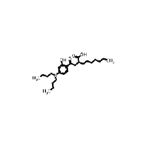 CCCCCCCC(CC(=O)c1ccc(N(CCCC)CCCC)cc1O)C(=O)O